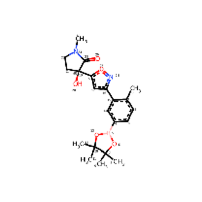 Cc1ccc(B2OC(C)(C)C(C)(C)O2)cc1-c1cc([C@]2(O)CCN(C)C2=O)on1